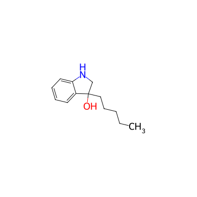 CCCCCC1(O)CNc2ccccc21